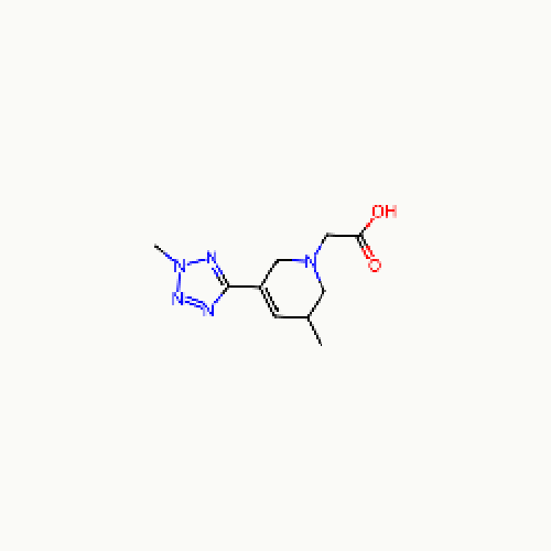 CC1C=C(c2nnn(C)n2)CN(CC(=O)O)C1